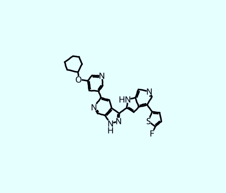 Fc1ccc(-c2cncc3[nH]c(-c4n[nH]c5cnc(-c6cncc(OC7CCCCC7)c6)cc45)cc23)s1